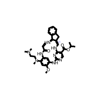 C=CC(=O)Nc1cc(Nc2ncc(C(=O)OC(C)C)c(N/C=C3/Cc4ccccc4C3=N)n2)c(OC)cc1N(C)CCN(C)C